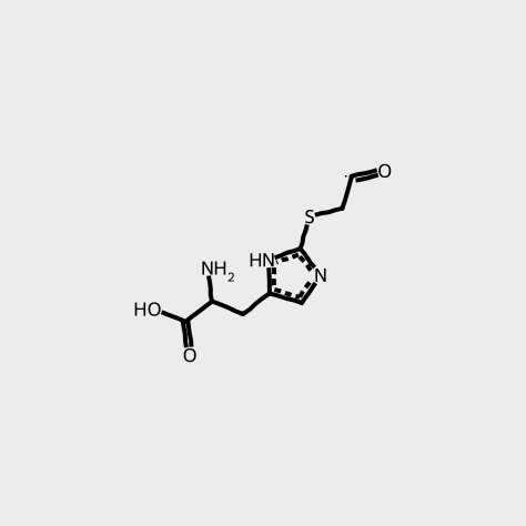 NC(Cc1cnc(SC[C]=O)[nH]1)C(=O)O